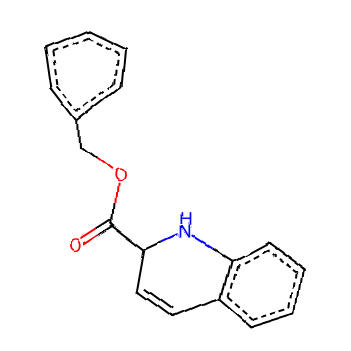 O=C(OCc1ccccc1)C1C=Cc2ccccc2N1